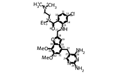 CCN(CCN(C)C)C(=O)c1ccc(Cl)cc1NCc1cc2c(Cc3cnc(N)nc3N)cc(OC)c(OC)c2o1